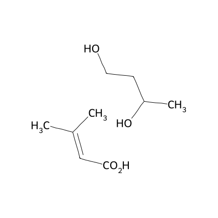 CC(C)=CC(=O)O.CC(O)CCO